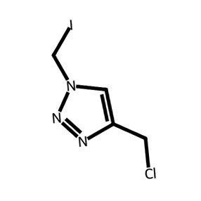 ClCc1cn(CI)nn1